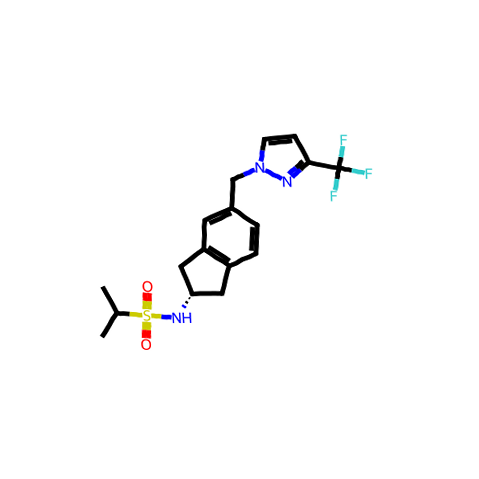 CC(C)S(=O)(=O)N[C@H]1Cc2ccc(Cn3ccc(C(F)(F)F)n3)cc2C1